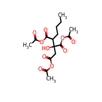 CCCCC(C(=O)OC(C)=O)C(O)(CC(=O)OC(C)=O)C(=O)OC(C)=O